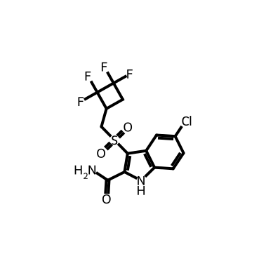 NC(=O)c1[nH]c2ccc(Cl)cc2c1S(=O)(=O)CC1CC(F)(F)C1(F)F